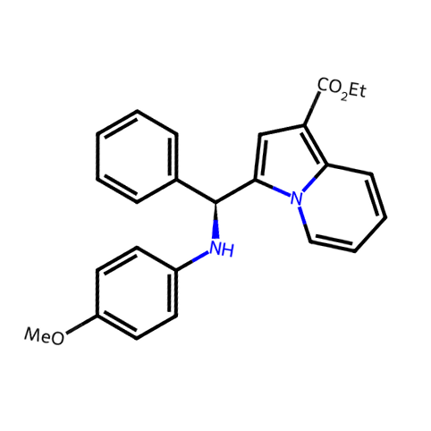 CCOC(=O)c1cc([C@@H](Nc2ccc(OC)cc2)c2ccccc2)n2ccccc12